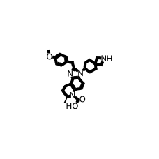 COc1ccc(Cc2nc3c4c(ccc3n2C2CCC3(CC2)CNC3)N(C(=O)O)[C@@H](C)CC4)cc1